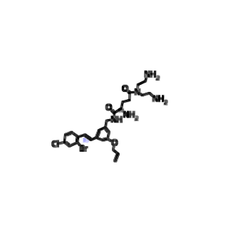 C=CCOc1cc(/C=C/c2ccc(Cl)cc2Br)cc(CNC(=O)[C@@H](N)CCC(=O)N(CCN)CCN)c1